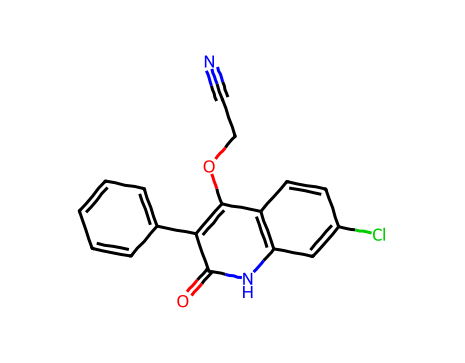 N#CCOc1c(-c2ccccc2)c(=O)[nH]c2cc(Cl)ccc12